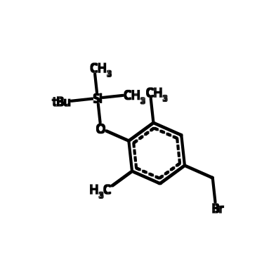 Cc1cc(CBr)cc(C)c1O[Si](C)(C)C(C)(C)C